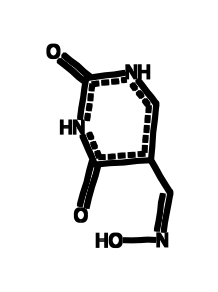 O=c1[nH]cc(/C=N\O)c(=O)[nH]1